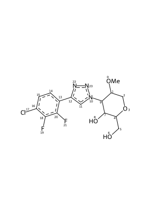 COC1COC(CO)C(O)C1n1cc(-c2ccc(Cl)c(F)c2F)nn1